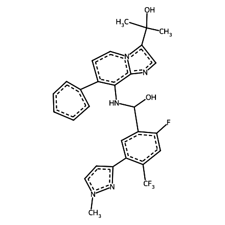 Cn1ccc(-c2cc(C(O)Nc3c(-c4ccccc4)ccn4c(C(C)(C)O)cnc34)c(F)cc2C(F)(F)F)n1